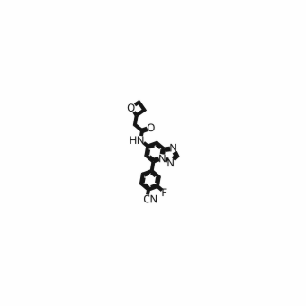 N#Cc1ccc(-c2cc(NC(=O)CC3CCO3)cc3ncnn23)cc1F